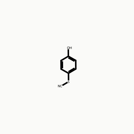 N#CSc1ccc(O)cc1